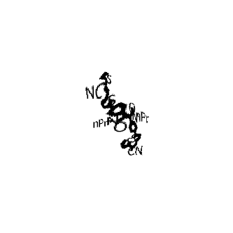 CCCN1C(=O)/C(=C2/C(=O)N(CCC)c3cc(-c4ccc(CC(C#N)c5cccs5)s4)ccc32)c2ccc(-c3ccc(/C=C(\C#N)c4cccs4)s3)cc21